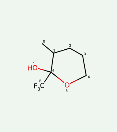 CC1CCCOC1(O)C(F)(F)F